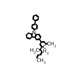 C=C/C=C(\C=C(/C)C(=C)/C=C\C=C/C)c1ccc2c(c1)c1c(n2-c2ccc(-c3ccccc3)cc2)CCC=C1